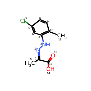 CC(=NNc1cc(Cl)ccc1C)C(=O)O